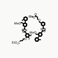 CCOC(=O)CCCOc1cc(-c2noc(-c3ccc(-c4ccccc4C)c(COC)c3)n2)cc(F)c1F.COCc1cc(-c2nc(-c3cccc(COCCC(=O)OC(C)(C)C)c3)no2)ccc1-c1ccccc1C